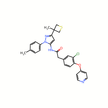 Cc1ccc(-n2nc(C3(C)CSC3)cc2NC(=O)Cc2ccc(Oc3ccncc3)c(Cl)c2)cc1